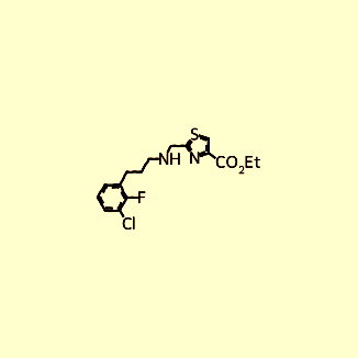 CCOC(=O)c1csc(CNCCCc2cccc(Cl)c2F)n1